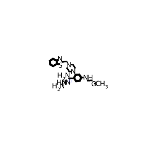 COCCNc1ccc(/C(N)=N/NN)c(N2CCN(Cc3nc4ccccc4s3)CC2)c1